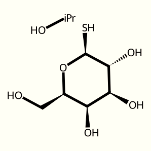 CC(C)O.OC[C@H]1O[C@@H](S)[C@H](O)[C@@H](O)[C@H]1O